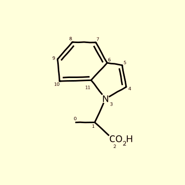 CC(C(=O)O)n1ccc2ccccc21